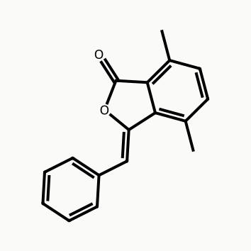 Cc1ccc(C)c2c1C(=O)OC2=Cc1ccccc1